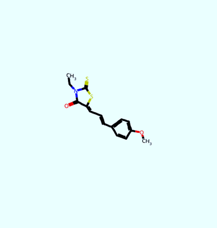 CCN1C(=O)C(=C/C=C/c2ccc(OC)cc2)SC1=S